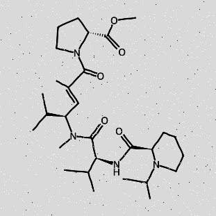 COC(=O)[C@H]1CCCN1C(=O)/C(C)=C/[C@H](C(C)C)N(C)C(=O)[C@@H](NC(=O)[C@H]1CCCCN1C(C)C)C(C)C